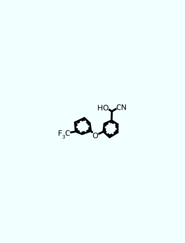 N#CC(O)c1cccc(Oc2cccc(C(F)(F)F)c2)c1